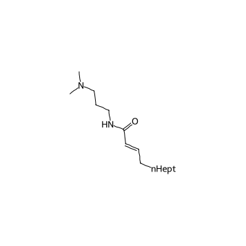 CCCCCCCCC=CC(=O)NCCCN(C)C